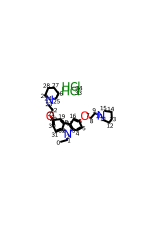 CCn1c2ccc(OCCN3CCCCC3)cc2c2cc(OCCN3CCCCC3)ccc21.Cl.Cl